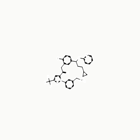 NCc1cccc(-n2nc(C(F)(F)F)cc2C(=O)Cc2cc(C(CCC3CC3)Oc3ccccn3)ccc2F)c1